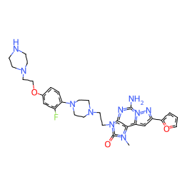 Cn1c(=O)n(CCN2CCN(c3ccc(OCCN4CCNCC4)cc3F)CC2)c2nc(N)n3nc(-c4ccco4)cc3c21